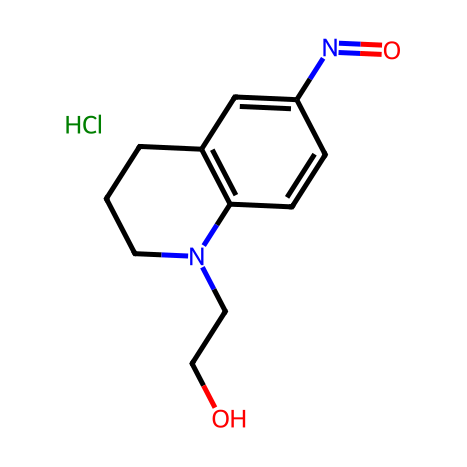 Cl.O=Nc1ccc2c(c1)CCCN2CCO